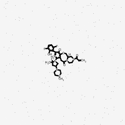 C=CC(=O)N1CCN2C(=O)Cc3c(N4CC(N5CCN(C)CC5)CC4(C)C)nc(-c4c(F)ccc(F)c4O)c(Cl)c3OC[C@H]2C1